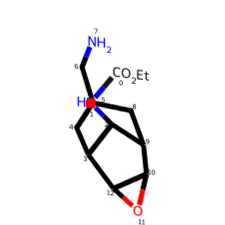 CCOC(=O)NC1C2CC(CN)CC1C1OC21